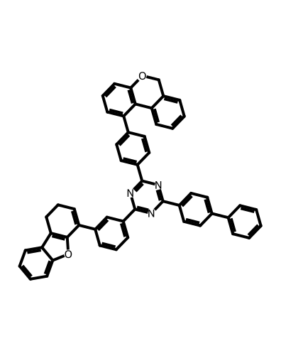 C1=C(c2cccc(-c3nc(-c4ccc(-c5ccccc5)cc4)nc(-c4ccc(-c5cccc6c5-c5ccccc5CO6)cc4)n3)c2)c2oc3ccccc3c2CC1